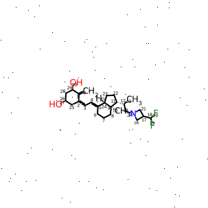 C=C1/C(=C\C=C2/CCC[C@]3(C)[C@@H](C(C)CN4CC(C(F)F)C4)CC[C@@H]23)C[C@@H](O)C[C@H]1O